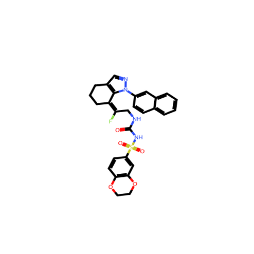 O=C(NC/C(F)=C1/CCCc2cnn(-c3ccc4ccccc4c3)c21)NS(=O)(=O)c1ccc2c(c1)OCCO2